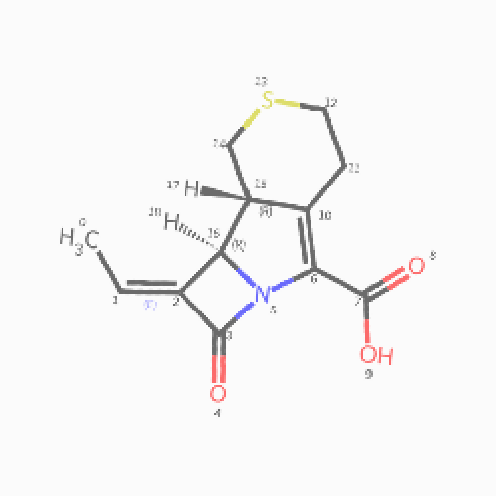 C/C=C1/C(=O)N2C(C(=O)O)=C3CCSC[C@H]3[C@H]12